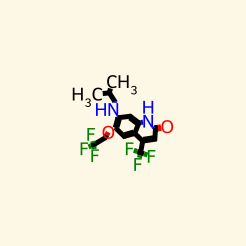 CC(C)CNc1cc2[nH]c(=O)cc(C(F)(F)F)c2cc1OCC(F)(F)F